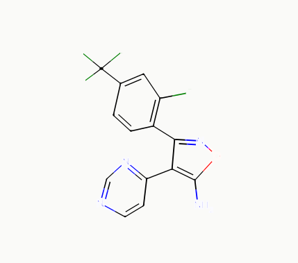 Nc1onc(-c2ccc(C(F)(F)F)cc2F)c1-c1ccncn1